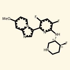 COc1ccn2c(-c3nc(N[C@H]4CNCC[C@@H]4F)c(F)cc3F)cnc2c1